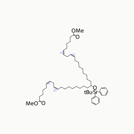 COC(=O)CCCC/C=C\C/C=C\CCCCCCCCC(CCCCCCCC/C=C\C/C=C\CCCCC(=O)OC)O[Si](c1ccccc1)(c1ccccc1)C(C)(C)C